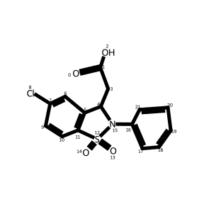 O=C(O)CC1c2cc(Cl)ccc2S(=O)(=O)N1c1ccccc1